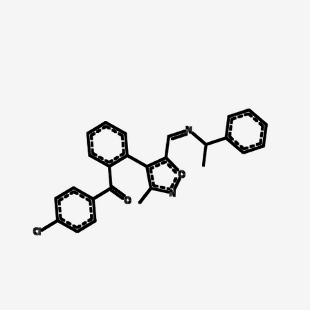 Cc1noc(/C=N\C(C)c2ccccc2)c1-c1ccccc1C(=O)c1ccc(Cl)cc1